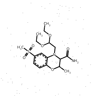 CCOC(CN1c2cc(S(C)(=O)=O)ccc2OC(C)C1C(N)=O)OCC